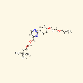 C=CCOCCO[C@H]1CC[C@H](c2nccc(COCOCC[Si](C)(C)C)n2)CC1